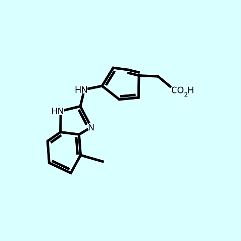 Cc1cccc2[nH]c(Nc3ccc(CC(=O)O)cc3)nc12